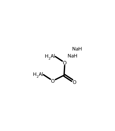 O=C([O][AlH2])[O][AlH2].[NaH].[NaH]